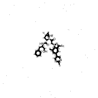 CC(=O)c1nn(CC(=O)N2[C@H](C(=O)NC(CO)Cc3ccccc3)C[C@@]3(C)C[C@@H]23)c2c(C)cc(-c3cnc(C)nc3)cc12